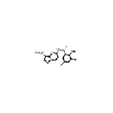 CCOC(=O)c1cnn2ccc(N[C@H](C)c3cc(F)cc(Br)c3O)nc12